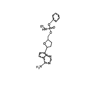 CCNP(=O)(OCC1CCC(c2ccc3c(N)ncnn23)O1)Oc1ccccc1